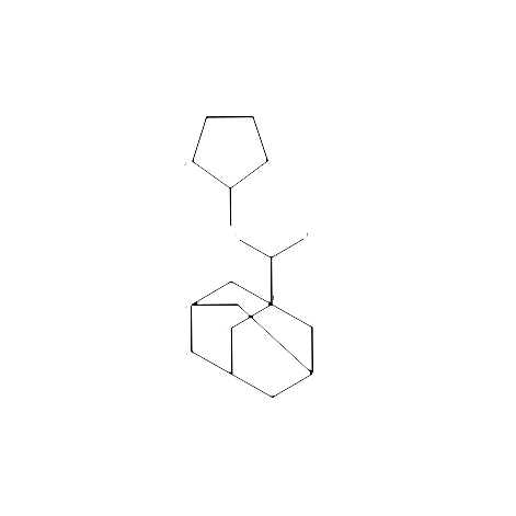 CC(OC1CCCC1)C12CC3CC(CC(C3)C1)C2